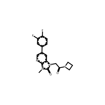 Cn1c(=O)n(CC(=O)N2CCC2)c2cc(-c3ccc(F)c(F)c3)cnc21